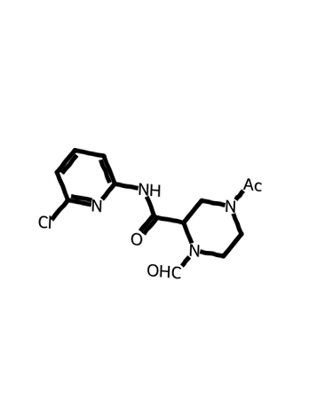 CC(=O)N1CCN(C=O)C(C(=O)Nc2cccc(Cl)n2)C1